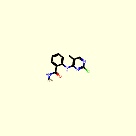 CCCNC(=O)c1ccccc1Nc1nc(Cl)ncc1C